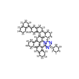 c1ccc(-c2nc(-c3cccc(-c4ccc5cc(-c6cccc7ccccc67)ccc5c4)c3)nc(-c3c(-c4ccccc4-c4ccccc4)ccc4ccccc34)n2)cc1